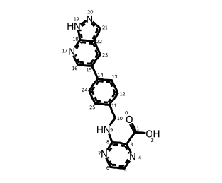 O=C(O)c1nccnc1NCc1ccc(-c2cnc3[nH]ncc3c2)cc1